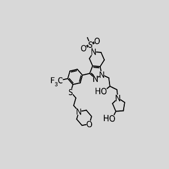 CS(=O)(=O)N1CCc2c(c(-c3ccc(C(F)(F)F)c(SCCN4CCOCC4)c3)nn2CC(O)CN2CCC(O)C2)C1